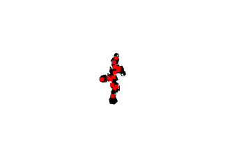 COc1ccc(CN(Cc2ccc(OC)cc2)c2ncc(-c3nc(N4CCOCC4)nc4c3CCN4c3ccc4c(c3)ncn4COCc3ccccc3)cn2)cc1